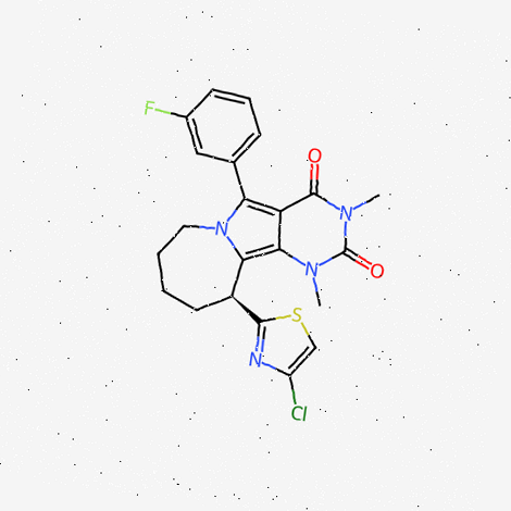 Cn1c(=O)c2c(-c3cccc(F)c3)n3c(c2n(C)c1=O)[C@@H](c1nc(Cl)cs1)CCCC3